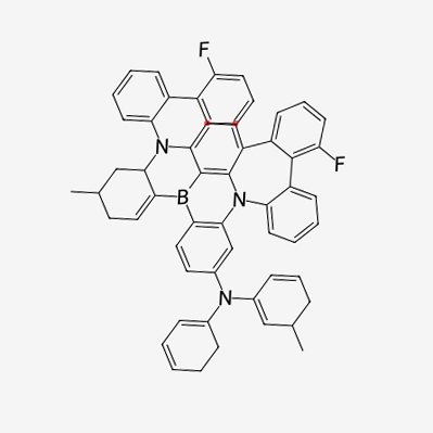 CC1C=C(N(C2=CC=CCC2)c2ccc3c(c2)N2c4ccccc4-c4c(F)cccc4-c4ccc5c(c42)B3C2=CCC(C)CC2N5c2ccccc2-c2ccccc2F)C=CC1